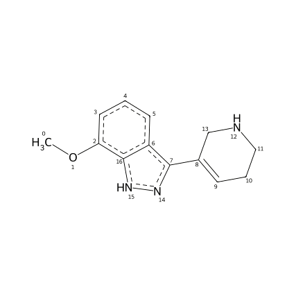 COc1cccc2c(C3=CCCNC3)n[nH]c12